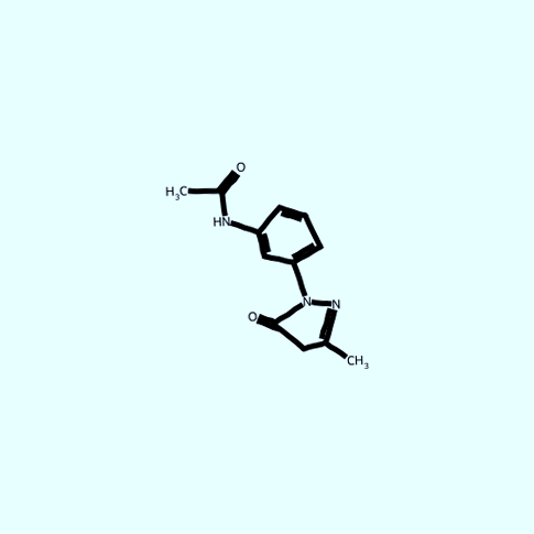 CC(=O)Nc1cccc(N2N=C(C)CC2=O)c1